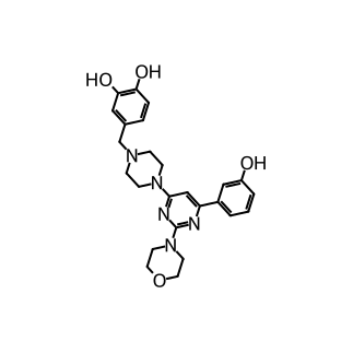 Oc1cccc(-c2cc(N3CCN(Cc4ccc(O)c(O)c4)CC3)nc(N3CCOCC3)n2)c1